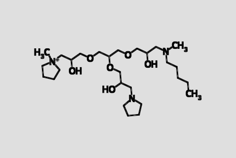 CCCCCN(C)CC(O)COCC(COCC(O)C[N+]1(C)CCCC1)OCC(O)CN1CCCC1